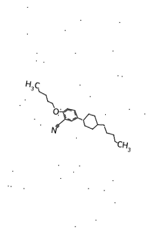 CCCCCOc1ccc(C2CCC(CCCCC)CC2)cc1C#N